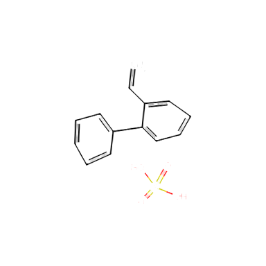 C=Cc1ccccc1-c1ccccc1.O=S(=O)(O)O